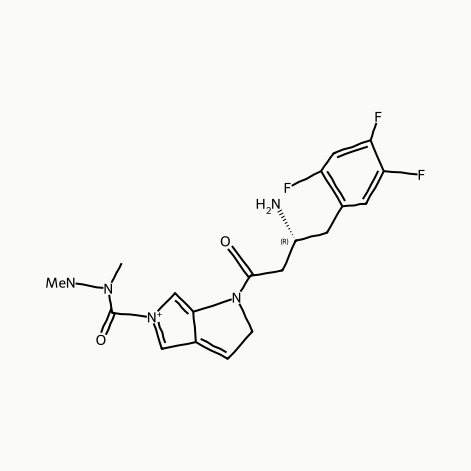 CNN(C)C(=O)[N+]1=CC2=CCN(C(=O)C[C@H](N)Cc3cc(F)c(F)cc3F)C2=C1